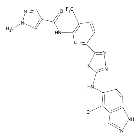 Cn1cc(C(=O)Nc2cc(-c3nnc(Nc4ccc5[nH]ncc5c4Cl)s3)ccc2C(F)(F)F)cn1